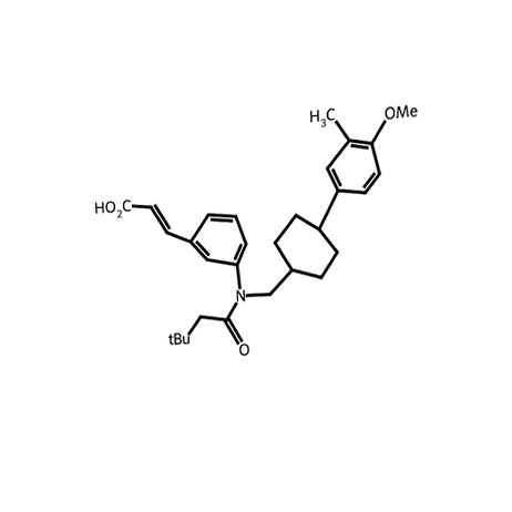 COc1ccc(C2CCC(CN(C(=O)CC(C)(C)C)c3cccc(C=CC(=O)O)c3)CC2)cc1C